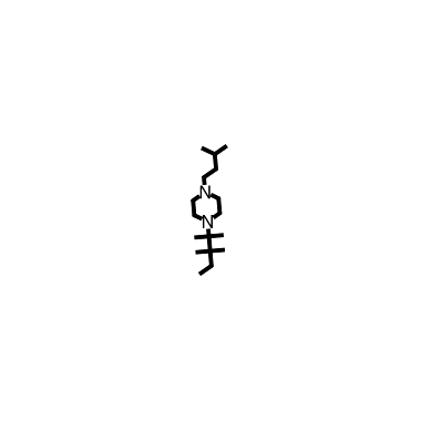 CCC(C)(C)C(C)(C)N1CCN(CCC(C)C)CC1